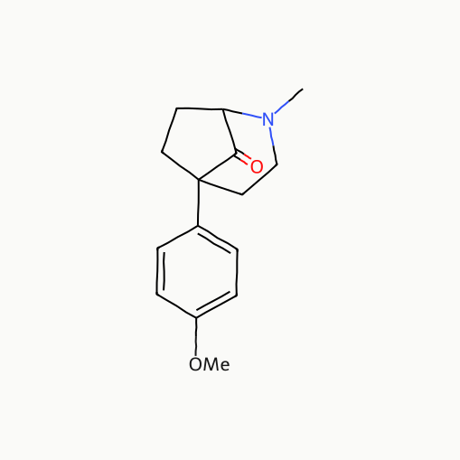 COc1ccc(C23CCC(C2=O)N(C)CC3)cc1